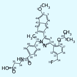 COc1ccc2cc(-c3cc(-c4cc(CF)ccc4OC(C)C)nn3[C@@H](C)c3ccc(C(=O)NCCC(=O)O)cc3)ccc2c1